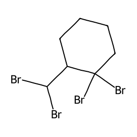 BrC(Br)C1CCCCC1(Br)Br